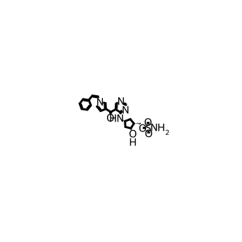 NS(=O)(=O)OC[C@H]1C[C@@H](Nc2ncncc2C(=O)c2ccn(/C=C\c3ccccc3)c2)C[C@@H]1O